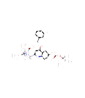 CC(C)(C)OC(=O)Oc1ccc2nc(CN(C(=O)O)C(C)(C)C)cc(OCc3ccccc3)c2c1